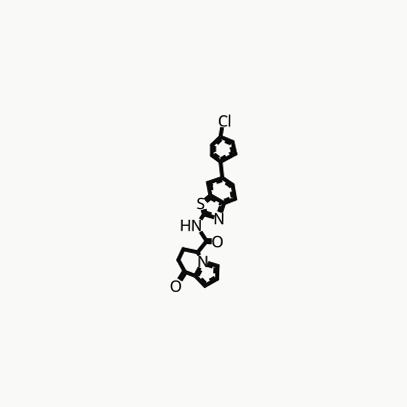 O=C1CCC(C(=O)Nc2nc3ccc(-c4ccc(Cl)cc4)cc3s2)n2cccc21